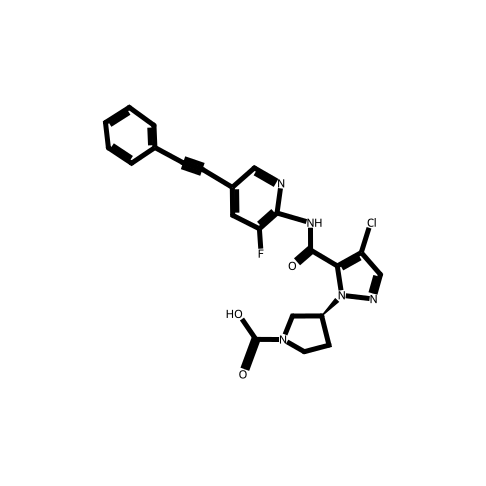 O=C(Nc1ncc(C#Cc2ccccc2)cc1F)c1c(Cl)cnn1[C@H]1CCN(C(=O)O)C1